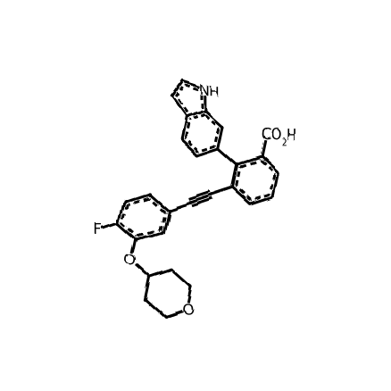 O=C(O)c1cccc(C#Cc2ccc(F)c(OC3CCOCC3)c2)c1-c1ccc2cc[nH]c2c1